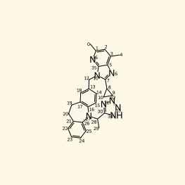 Cc1cc(C)c2nc(C3CC3)n(Cc3ccc4c(c3)CCc3ccccc3N4C(C)c3nnn[nH]3)c2n1